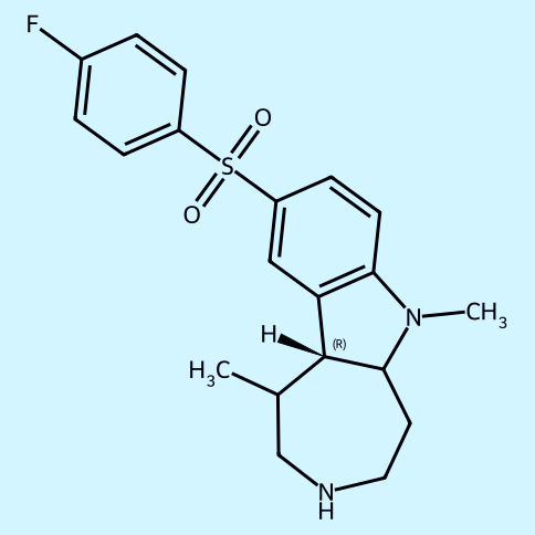 CC1CNCCC2[C@H]1c1cc(S(=O)(=O)c3ccc(F)cc3)ccc1N2C